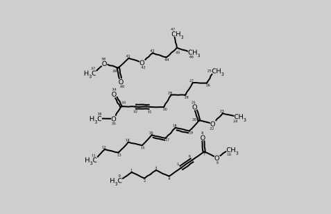 CCCCCC#CC(=O)OC.CCCCCC=CC=CC(=O)OCC.CCCCCCC#CC(=O)OC.COC(=O)COCCC(C)C